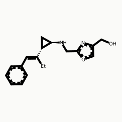 CC/C(=C\c1ccccc1)[C@@H]1C[C@H]1NCc1nc(CO)co1